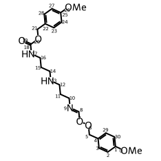 COc1ccc(COOC=NCCCNCCCNC(=O)OCc2ccc(OC)cc2)cc1